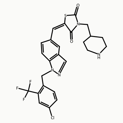 O=C1SC(=Cc2ccc3c(cnn3Cc3ccc(Cl)cc3C(F)(F)F)c2)C(=O)N1CC1CCNCC1